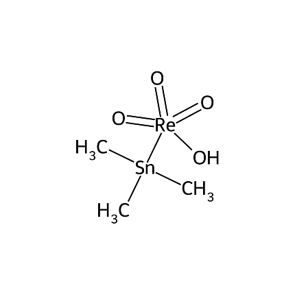 [CH3][Sn]([CH3])([CH3])[Re](=[O])(=[O])(=[O])[OH]